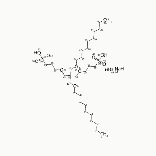 CCCCCCCCCCOCC(COCCCCCCCCCC)(COCCCS(=O)(=O)O)COCCCS(=O)(=O)O.[NaH].[NaH]